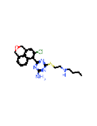 CCCCNCCSc1nc(N)nc(-c2c(Cl)cc3c4c(cccc24)COC3)n1